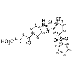 O=C(O)CCCC(=O)N1CCC(NS(=O)(=O)c2cc(S(=O)(=O)c3ccccc3)ccc2C(F)(F)F)CC1